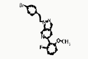 COc1cccc(F)c1-c1cc2cnn(C=Cc3ccc(Br)cc3)c2cn1